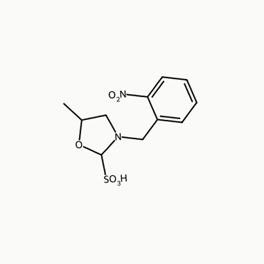 CC1CN(Cc2ccccc2[N+](=O)[O-])C(S(=O)(=O)O)O1